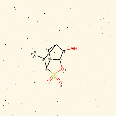 O=S1(=O)OC2C(O)C3CC2C1C3C(F)(F)F